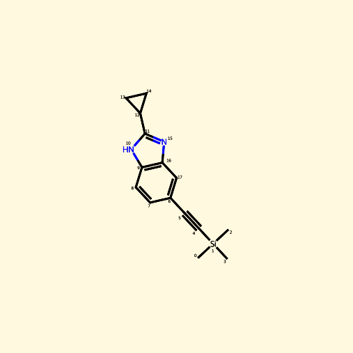 C[Si](C)(C)C#Cc1ccc2[nH]c(C3CC3)nc2c1